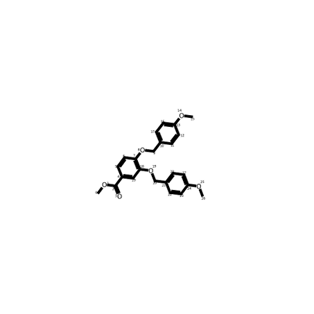 COC(=O)c1ccc(OCc2ccc(OC)cc2)c(OCc2ccc(OC)cc2)c1